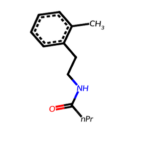 CCCC(=O)NCCc1ccccc1C